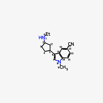 CCNC1CCC(c2cn(C)c3ccc(C#N)cc23)C1